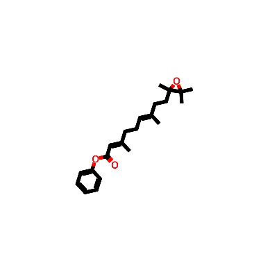 C/C(=C\C(=O)Oc1ccccc1)CC/C=C(\C)CCC1(C)OC1(C)C